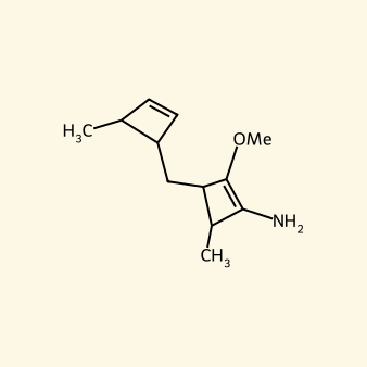 COC1=C(N)C(C)C1CC1C=CC1C